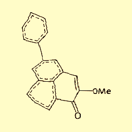 COC1=Cc2cc(-c3ccccc3)cc3cccc(c23)C1=O